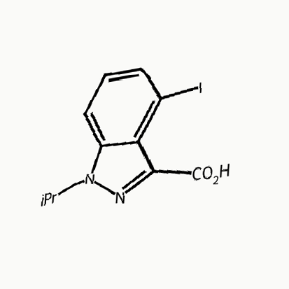 CC(C)n1nc(C(=O)O)c2c(I)cccc21